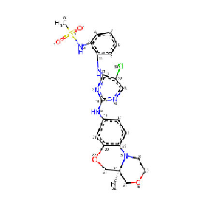 CS(=O)(=O)Nc1ccccc1Nc1nc(Nc2ccc3c(c2)OC[C@@H]2COCCN32)ncc1Cl